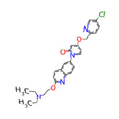 CCN(CC)CCOc1ccc2cc(-n3ccc(OCc4ccc(Cl)cn4)cc3=O)ccc2n1